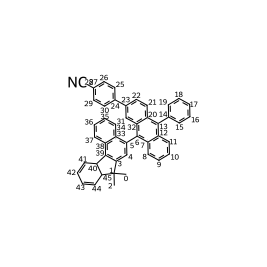 CC1(C)c2cc(-c3c4ccccc4c(-c4ccccc4)c4ccc(-c5ccc(C#N)cc5)cc34)c3ccccc3c2C2C=CC=CC21